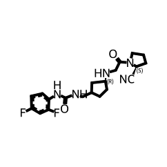 N#C[C@@H]1CCCN1C(=O)CN[C@@H]1CCC(CNC(=O)Nc2ccc(F)cc2F)C1